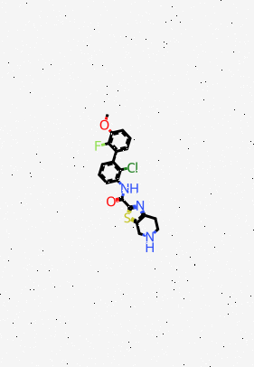 COc1cccc(-c2cccc(NC(=O)c3nc4c(s3)CNCC4)c2Cl)c1F